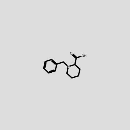 O=C(O)C1CCCCN1Cc1ccccc1